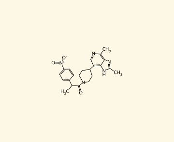 Cc1nc2c(C)ncc(C3CCN(C(=O)C(C)c4ccc([N+](=O)[O-])cc4)CC3)c2[nH]1